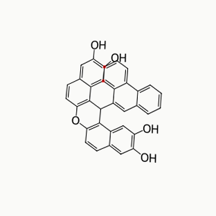 Oc1cc2ccc3c(c2cc1O)C(c1cc2ccccc2c2ccccc12)c1c(ccc2cc(O)c(O)cc12)O3